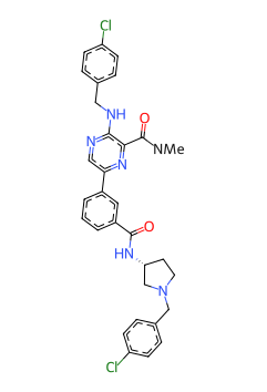 CNC(=O)c1nc(-c2cccc(C(=O)N[C@@H]3CCN(Cc4ccc(Cl)cc4)C3)c2)cnc1NCc1ccc(Cl)cc1